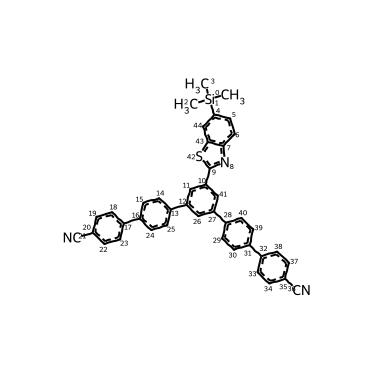 C[Si](C)(C)c1ccc2nc(-c3cc(-c4ccc(-c5ccc(C#N)cc5)cc4)cc(-c4ccc(-c5ccc(C#N)cc5)cc4)c3)sc2c1